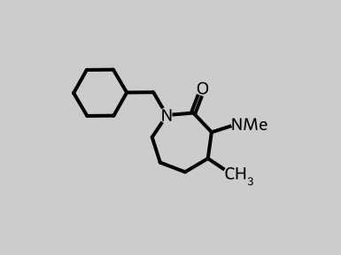 CNC1C(=O)N(CC2CCCCC2)CCCC1C